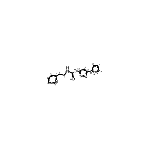 O=C(NCCc1ccccn1)Oc1cc(-c2cccs2)on1